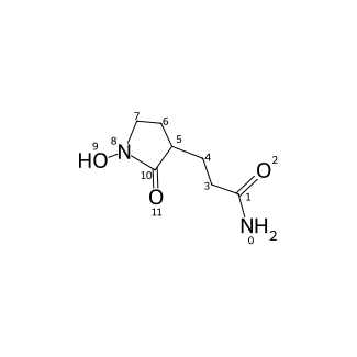 NC(=O)CCC1CCN(O)C1=O